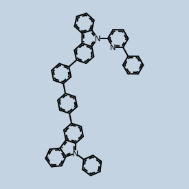 c1ccc(-c2cccc(-n3c4ccccc4c4cc(-c5cccc(-c6ccc(-c7ccc8c(c7)c7ccccc7n8-c7ccccc7)cc6)c5)ccc43)n2)cc1